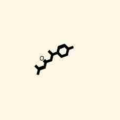 CC(C)=CC(=O)CC(C)C1C=CC(C)CC1